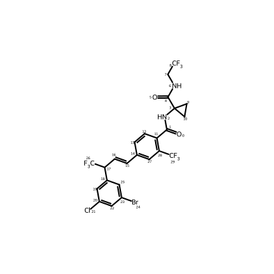 O=C(NC1(C(=O)NCC(F)(F)F)CC1)c1ccc(/C=C/C(c2cc(Cl)cc(Br)c2)C(F)(F)F)cc1C(F)(F)F